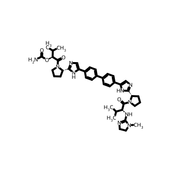 CC(C)[C@H](OC(N)=O)C(=O)N1CCC[C@H]1c1ncc(-c2ccc(-c3ccc(-c4cnc([C@@H]5CCCN5C(=O)[C@H](NC5=NCCN5C)C(C)C)[nH]4)cc3)cc2)[nH]1